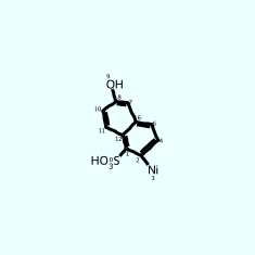 O=S(=O)(O)c1[c]([Ni])ccc2cc(O)ccc12